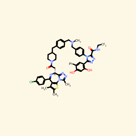 Cc1sc2c(c1C)C(c1ccc(Cl)cc1)=N[C@H](CC(=O)N1CCC(Cc3ccc(CN(C)Cc4ccc(-n5c(C(=O)NCC(F)(F)F)nnc5-c5cc(C(C)C)c(O)cc5O)cc4)cc3)CC1)c1nnc(C)n1-2